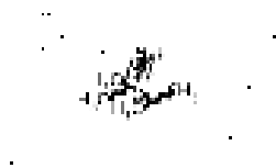 CCCCC(CC)COCC(CC)CCCC.O=S(=O)([O-])[O-].[Na+].[Na+]